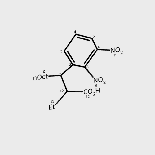 CCCCCCCCC(c1cccc([N+](=O)[O-])c1[N+](=O)[O-])C(CC)C(=O)O